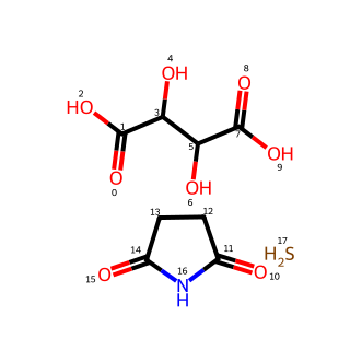 O=C(O)C(O)C(O)C(=O)O.O=C1CCC(=O)N1.S